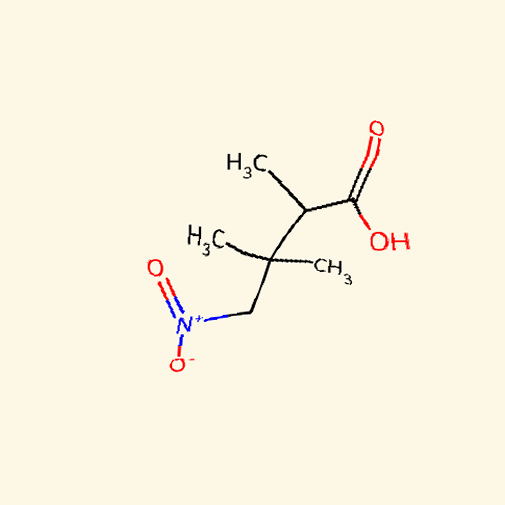 CC(C(=O)O)C(C)(C)C[N+](=O)[O-]